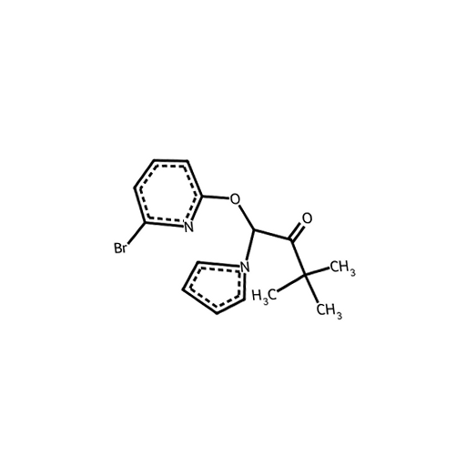 CC(C)(C)C(=O)C(Oc1cccc(Br)n1)n1cccc1